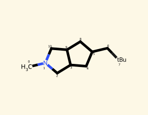 CN1CC2CC(CC(C)(C)C)CC2C1